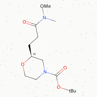 CON(C)C(=O)CC[C@H]1CN(C(=O)OC(C)(C)C)CCO1